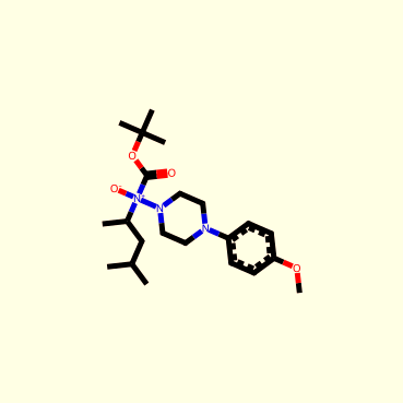 COc1ccc(N2CCN([N+]([O-])(C(=O)OC(C)(C)C)C(C)CC(C)C)CC2)cc1